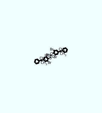 CC(C)(c1ccccc1)c1cc(Br)c(OP(=O)(O)Oc2c(Br)cc(C(C)(C)c3ccccc3)cc2Br)c(Br)c1